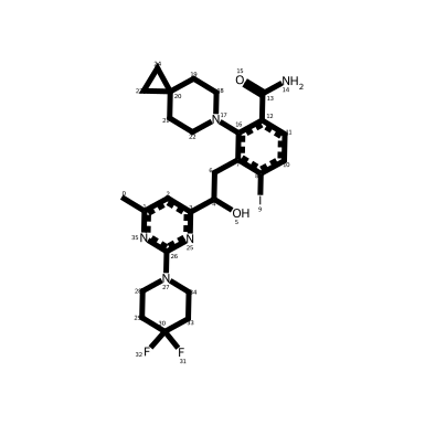 Cc1cc(C(O)Cc2c(I)ccc(C(N)=O)c2N2CCC3(CC2)CC3)nc(N2CCC(F)(F)CC2)n1